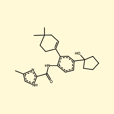 Cc1c[nH]c(C(=O)Nc2ccc(C3(O)CCCC3)cc2C2=CCC(C)(C)CC2)n1